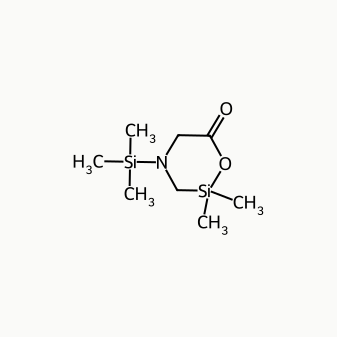 C[Si]1(C)CN([Si](C)(C)C)CC(=O)O1